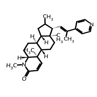 CC(=C[C@H]1C(C)C[C@H]2[C@@H]3CC[C@H]4N(C)C(=O)C=C[C@]4(C)[C@H]3CC[C@]12C)c1ccncc1